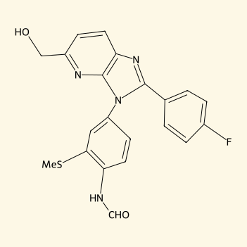 CSc1cc(-n2c(-c3ccc(F)cc3)nc3ccc(CO)nc32)ccc1NC=O